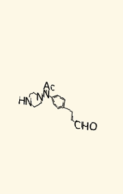 CC(=O)N(c1ccc(CCC=O)cc1)N1CCNCC1